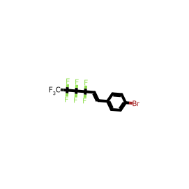 FC(F)(F)C(F)(F)C(F)(F)C(F)(F)C=Cc1ccc(Br)cc1